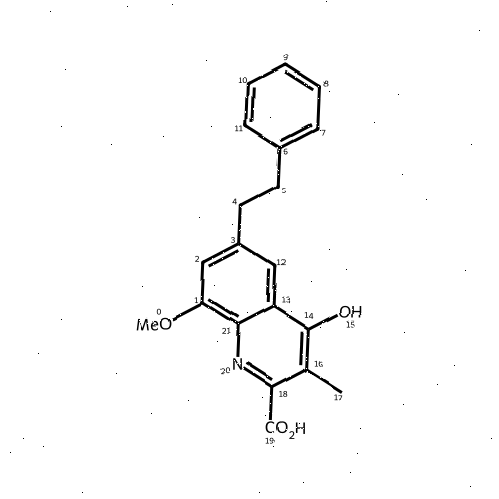 COc1cc(CCc2ccccc2)cc2c(O)c(C)c(C(=O)O)nc12